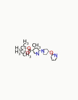 Cc1cc(N2CCC(Oc3ccccn3)CC2)ncc1B1OC(C)(C)C(C)(C)O1